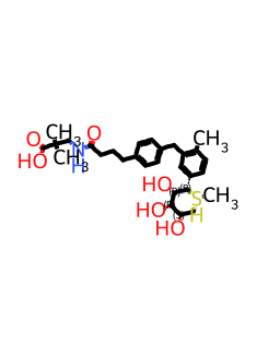 Cc1ccc([C@H]2[C@H](O)[C@H](O)[C@H](O)C[SH]2C)cc1Cc1ccc(CCCC(=O)NCC(C)(C)C(=O)O)cc1